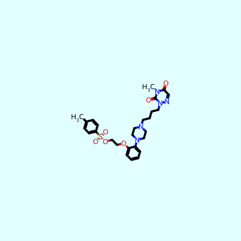 Cc1ccc(S(=O)(=O)OCCOc2ccccc2N2CCN(CCCCn3ncc(=O)n(C)c3=O)CC2)cc1